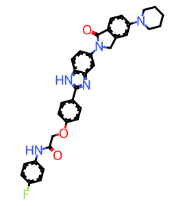 O=C(COc1ccc(-c2nc3cc(N4Cc5cc(N6CCCCC6)ccc5C4=O)ccc3[nH]2)cc1)Nc1ccc(F)cc1